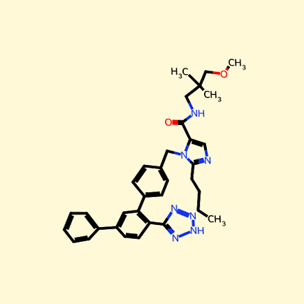 CCCCc1ncc(C(=O)NCC(C)(C)COC)n1Cc1ccc(-c2cc(-c3ccccc3)ccc2-c2nn[nH]n2)cc1